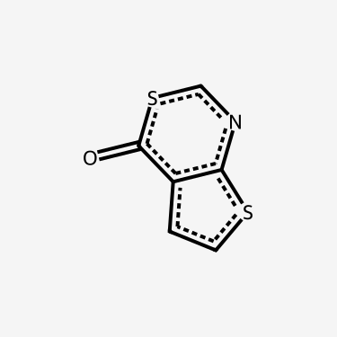 O=c1scnc2sccc12